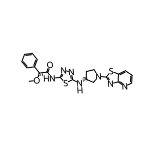 CO[C@H](C(=O)Nc1nnc(N[C@@H]2CCN(c3nc4ncccc4s3)C2)s1)c1ccccc1